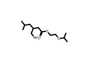 CC(C)CC(CN)CC(=O)OCCOC(C)C